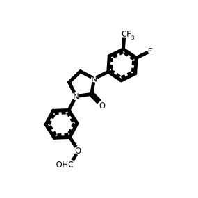 O=COc1cccc(N2CCN(c3ccc(F)c(C(F)(F)F)c3)C2=O)c1